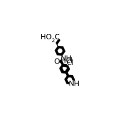 Cl.O=C(O)CC[C@H]1CC[C@H](NC(=O)c2ccc(C3CCNCC3)cc2Cl)CC1